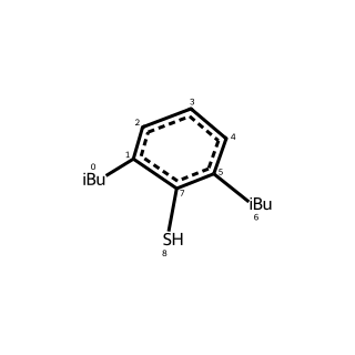 CCC(C)c1cccc(C(C)CC)c1S